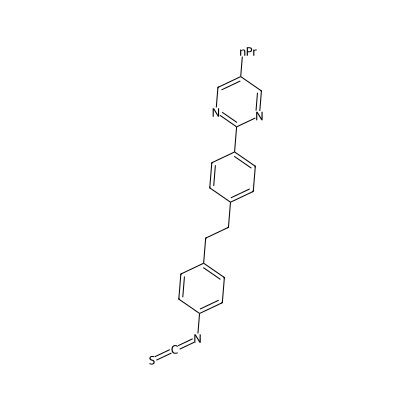 CCCc1cnc(-c2ccc(CCc3ccc(N=C=S)cc3)cc2)nc1